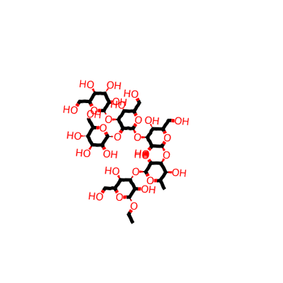 CCO[C@@H]1OC(CO)[C@@H](O)[C@H](O[C@@H]2OC(C)[C@H](O)[C@H](O[C@@H]3OC(CO)[C@@H](O)[C@H](O[C@@H]4OC(CO)[C@@H](O)[C@H](O[C@@H]5OC(CO)[C@@H](O)[C@H](O)C5O)C4O[C@H]4OC(CO)[C@@H](O)[C@H](O)C4O)C3O)C2O)C1O